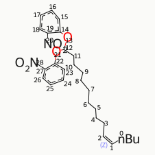 CCCC/C=C\CCCCCCCCCC(Oc1ccccc1[N+](=O)[O-])Oc1ccccc1[N+](=O)[O-]